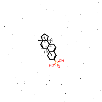 C[C@]12CCC(P(=O)(O)O)=CC1=CC[C@@H]1[C@@H]2C=C[C@]2(C)CCC[C@@H]12